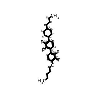 CCCCCOc1ccc(-c2ccc(C3CCC(CCCC)CC3)c(F)c2F)c(F)c1F